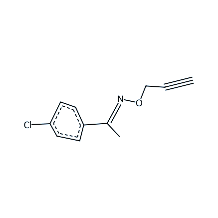 C#CCON=C(C)c1ccc(Cl)cc1